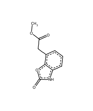 COC(=O)Cc1cccc2[nH]c(=O)oc12